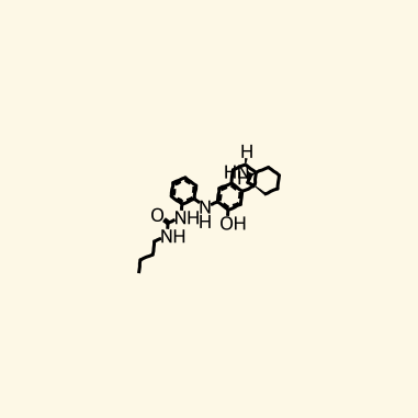 CCCCNC(=O)Nc1ccccc1Nc1cc2c(cc1O)[C@@]13CCCC[C@H]1[C@@H](C2)NCC3